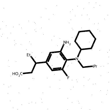 CCC(CC(=O)O)c1cc(N)c(N(CC(C)C)C2CCCCC2)c(F)c1